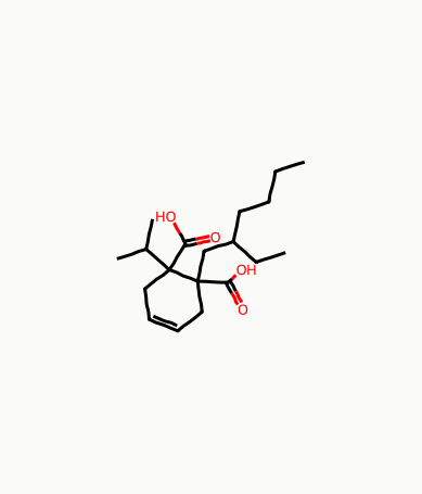 CCCCC(CC)CC1(C(=O)O)CC=CCC1(C(=O)O)C(C)C